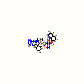 CNC(=S)C1(c2ccc3nccn3c2)CCCCC1OC(=O)CNS(=O)(=O)c1cccc2cccnc12